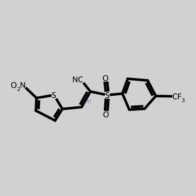 N#C/C(=C\c1ccc([N+](=O)[O-])s1)S(=O)(=O)c1ccc(C(F)(F)F)cc1